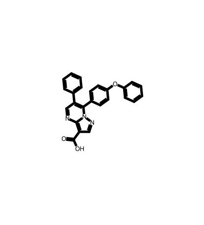 O=C(O)c1cnn2c(-c3ccc(Oc4ccccc4)cc3)c(-c3ccccc3)cnc12